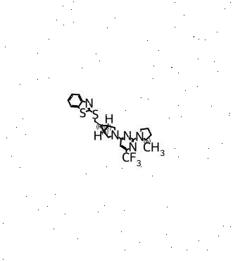 C[C@H]1CCCN1c1nc(N2C[C@@H]3[C@@H](CSc4nc5ccccc5s4)[C@@H]3C2)cc(C(F)(F)F)n1